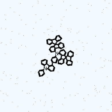 c1ccc(-n2c3ccccc3c3c(-c4ccc(N(c5cccc6c5-c5ccccc5C65c6ccccc6-c6ccccc65)c5cccc6c5-c5ccccc5C65c6ccccc6-c6ccccc65)cc4)cccc32)cc1